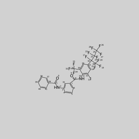 O=C(Nc1cccc(C(=O)Nc2c(I)cc(C(F)(C(F)(F)F)C(F)(F)C(F)(F)F)cc2C(F)(F)F)c1)c1ccccc1